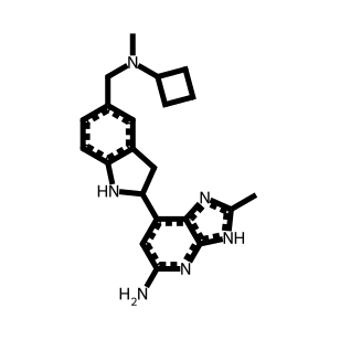 Cc1nc2c(C3Cc4cc(CN(C)C5CCC5)ccc4N3)cc(N)nc2[nH]1